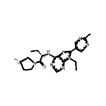 CC[C@@H](Nc1ncnc2c1nc(-c1cnc(C)nc1)n2CC)C(=O)N1CC[C@H](C)C1